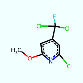 COc1cc(C(F)(Cl)Cl)cc(Cl)n1